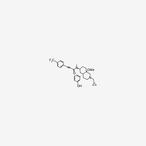 CO[C@]12CC[C@H](N(C)C(=O)C#Cc3ccc(C(F)(F)F)cc3)C[C@]1(c1cccc(O)c1)CCN(CC1CC1)C2